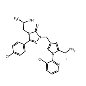 C[C@@H](N)c1nc(Cn2nc(-c3ccc(Cl)cc3)n(C[C@H](O)C(F)(F)F)c2=O)nn1-c1ncccc1Cl